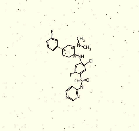 CN(C)[C@H]1C[C@@H](c2cccc(F)c2)CC[C@@H]1Nc1cc(F)c(S(=O)(=O)Nc2ccncn2)cc1Cl